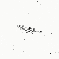 CCCc1c(C(=O)NCCCO)nnn1-c1ccc(NC(=O)CC(F)(F)F)cc1